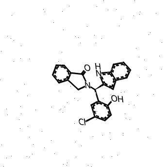 O=C1c2ccccc2CN1[C@@H](c1cc2ccccc2[nH]1)c1cc(Cl)ccc1O